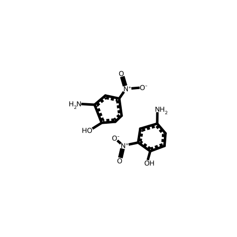 Nc1cc([N+](=O)[O-])ccc1O.Nc1ccc(O)c([N+](=O)[O-])c1